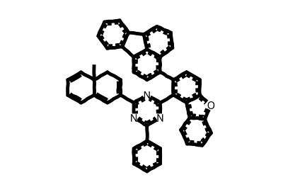 CC12C=CC=CC1=CC(c1nc(-c3ccccc3)nc(-c3c(-c4ccc5c6c(cccc46)-c4ccccc4-5)ccc4oc5ccccc5c34)n1)=CC2